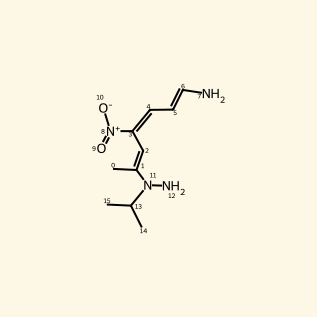 C\C(=C/C(=C\C=C\N)[N+](=O)[O-])N(N)C(C)C